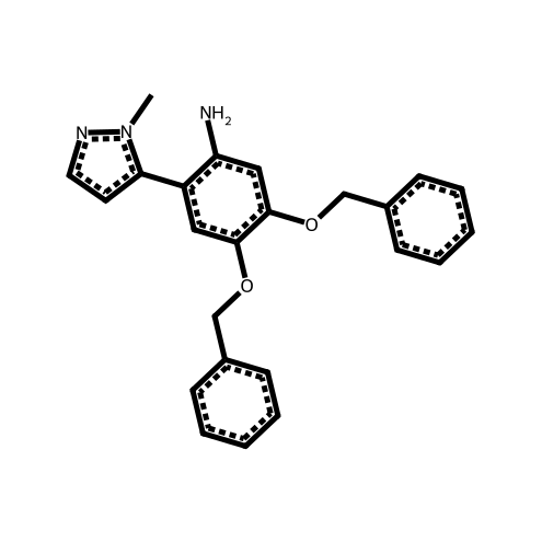 Cn1nccc1-c1cc(OCc2ccccc2)c(OCc2ccccc2)cc1N